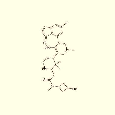 CN1C=C2C(=C(C3=CCNC(CC(=O)N(C)C4CC(O)C4)C3(C)C)C1)NN=C1C=Cc3cc(F)cc2c31